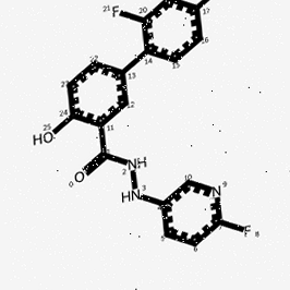 O=C(NNc1ccc(F)nc1)c1cc(-c2ccc(F)cc2F)ccc1O